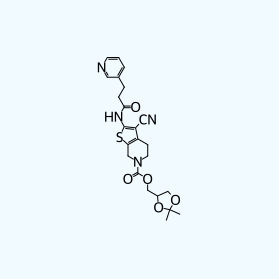 CC1(C)OCC(COC(=O)N2CCc3c(sc(NC(=O)CCc4cccnc4)c3C#N)C2)O1